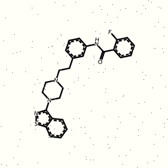 O=C(Nc1cccc(CCN2CCN(c3nsc4ccccc34)CC2)c1)c1ccccc1F